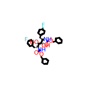 O=C(N[C@H](Cc1ccc(F)cc1)[C@H](O)[C@@H](O)[C@@H](Cc1ccc(F)cc1)NC(=O)OCc1ccccc1)OCc1ccccc1